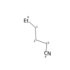 CCCC[CH]C#N